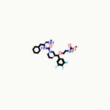 CNC[C@H](CC1CCCCC1)NC(=O)N1CCC[C@@H]([C@@H](OCCNC(=O)OC)c2cc(F)c(F)c(F)c2)C1